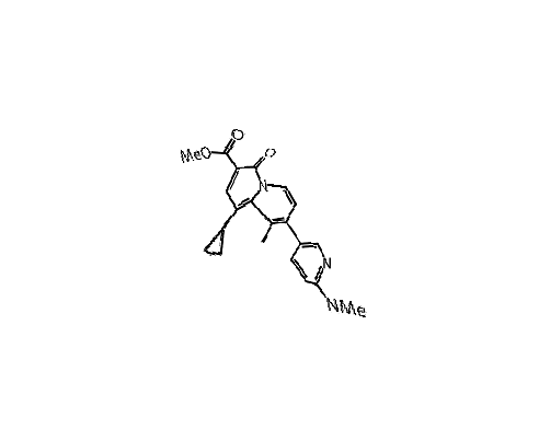 CNc1ccc(-c2ccn3c(=O)c(C(=O)OC)cc(C4CC4)c3c2C)cn1